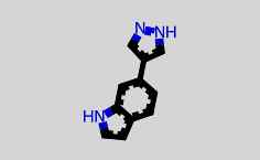 c1cc2ccc(-c3cn[nH]c3)cc2[nH]1